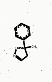 CC1(c2ccccc2)CC=NO1